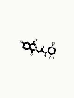 CCN1CC[C@H](O)[C@H](NC(=O)Cn2nc(C(C)C)c3cc(Br)ccc3c2=O)C1